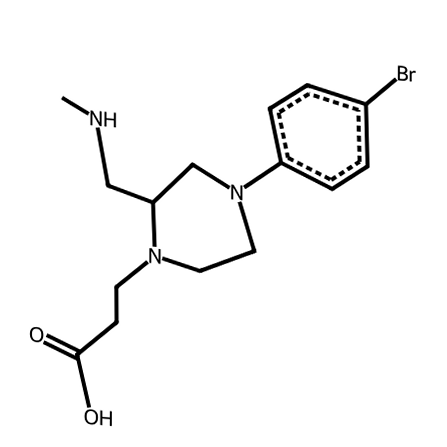 CNCC1CN(c2ccc(Br)cc2)CCN1CCC(=O)O